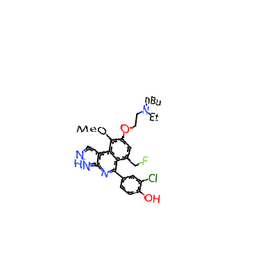 CCCCN(CC)CCOc1cc(CF)c2c(-c3ccc(O)c(Cl)c3)nc3[nH]ncc3c2c1OC